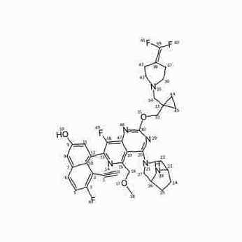 C#Cc1c(F)ccc2cc(O)cc(-c3nc(COC)c4c(N5CC6CCC(C5)N6)nc(OCC5(CN6CCC(=C(F)F)CC6)CC5)nc4c3F)c12